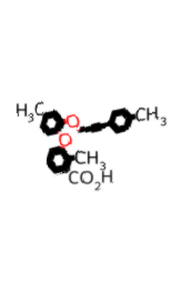 Cc1ccc(C#CCOc2cc(C)ccc2Oc2cccc(C(=O)O)c2C)cc1